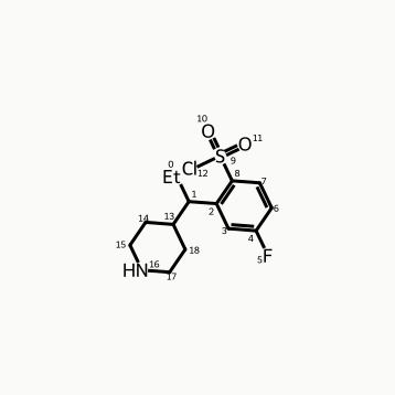 CCC(c1cc(F)ccc1S(=O)(=O)Cl)C1CCNCC1